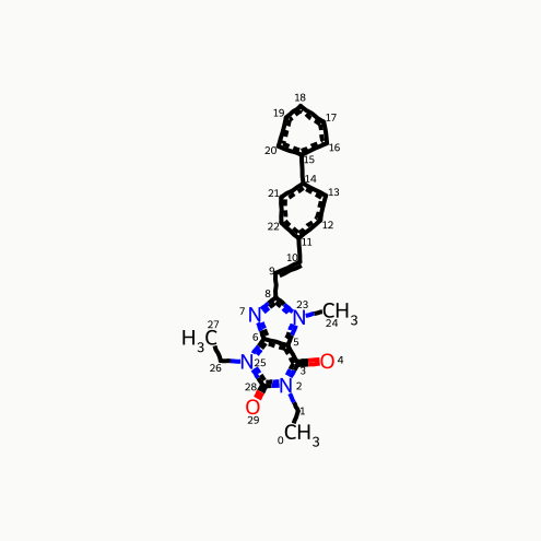 CCn1c(=O)c2c(nc(/C=C/c3ccc(-c4ccccc4)cc3)n2C)n(CC)c1=O